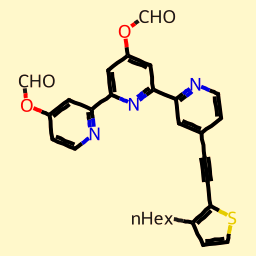 CCCCCCc1ccsc1C#Cc1ccnc(-c2cc(OC=O)cc(-c3cc(OC=O)ccn3)n2)c1